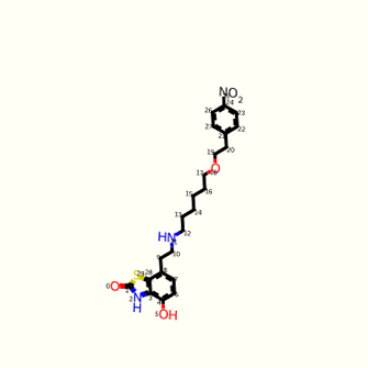 O=c1[nH]c2c(O)ccc(CCNCCCCCCOCCc3ccc([N+](=O)[O-])cc3)c2s1